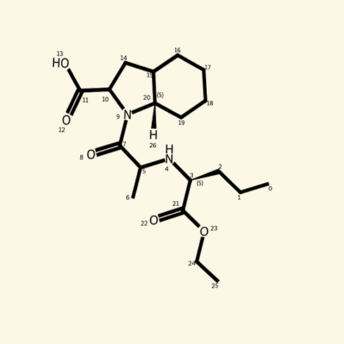 CCC[C@H](NC(C)C(=O)N1C(C(=O)O)CC2CCCC[C@@H]21)C(=O)OCC